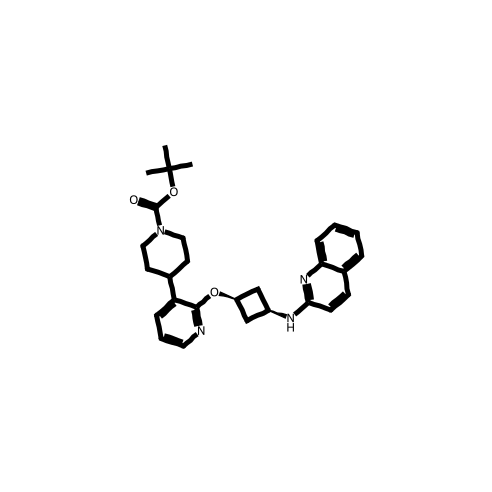 CC(C)(C)OC(=O)N1CCC(c2cccnc2O[C@H]2C[C@@H](Nc3ccc4ccccc4n3)C2)CC1